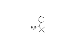 BC(C1CCCC1)C(C)(C)C